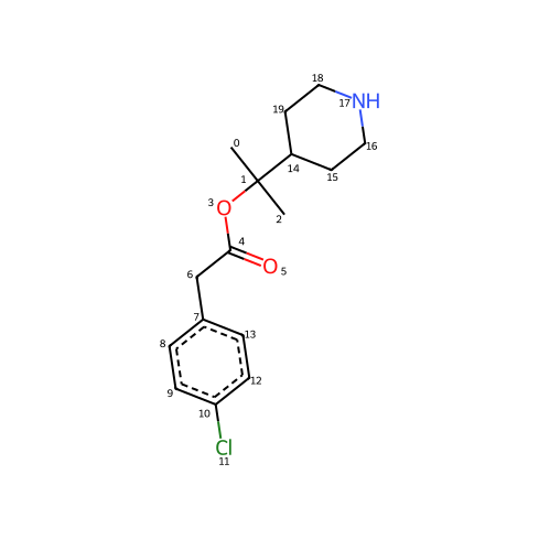 CC(C)(OC(=O)Cc1ccc(Cl)cc1)C1CCNCC1